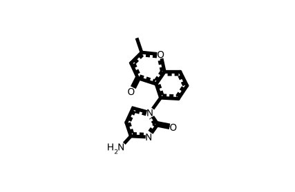 Cc1cc(=O)c2c(-n3ccc(N)nc3=O)cccc2o1